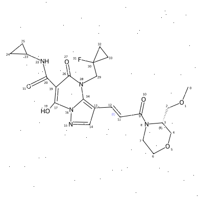 COC[C@@H]1COCCN1C(=O)/C=C/c1cnn2c(O)c(C(=O)NC3CC3)c(=O)n(CC3(F)CC3)c12